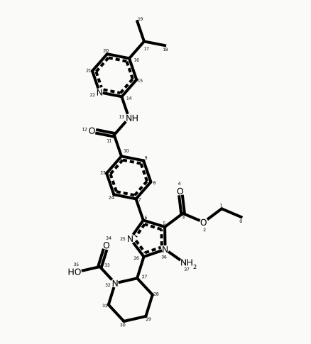 CCOC(=O)c1c(-c2ccc(C(=O)Nc3cc(C(C)C)ccn3)cc2)nc(C2CCCCN2C(=O)O)n1N